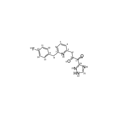 O=C(Cc1cccc(Cc2ccc(F)cc2)n1)C(=O)c1nc[nH]n1